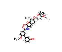 COc1ccc(C(=O)Nc2cc3ccc(OC4CCC(OC)C(C)(C)O4)c(C)c3oc2=O)cc1-c1cccc(O)c1